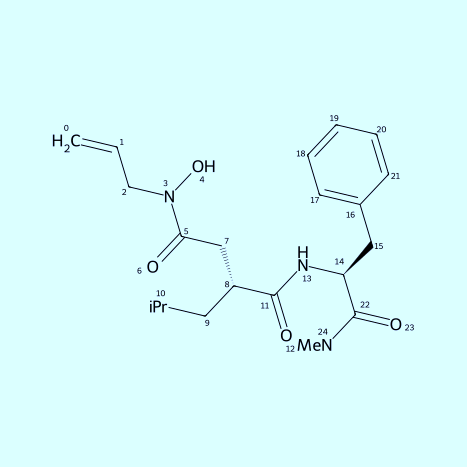 C=CCN(O)C(=O)C[C@@H](CC(C)C)C(=O)N[C@@H](Cc1ccccc1)C(=O)NC